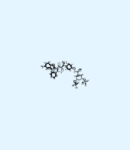 C[C@@H](c1ccccc1)[C@H](NC(=O)C(N)c1ccc(OCC(=O)N(CCO[Si](C)(C)C)CCO[Si](C)(C)C)cc1)c1nc2ccc(I)cc2[nH]1